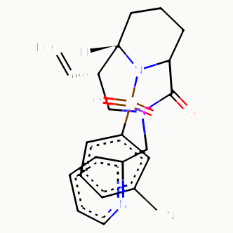 C=C[C@H]1CN(Cc2ccccn2)C(=O)C2CCC[C@@H]1N2S(=O)(=O)c1cccc(C#N)c1